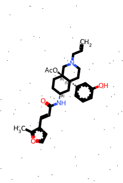 C=CCN1CC[C@@]2(c3cccc(O)c3)C[C@H](NC(=O)C=Cc3ccoc3C)CC[C@]2(OC(C)=O)C1